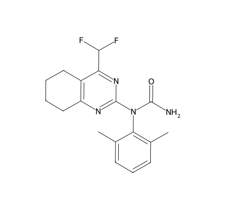 Cc1cccc(C)c1N(C(N)=O)c1nc2c(c(C(F)F)n1)CCCC2